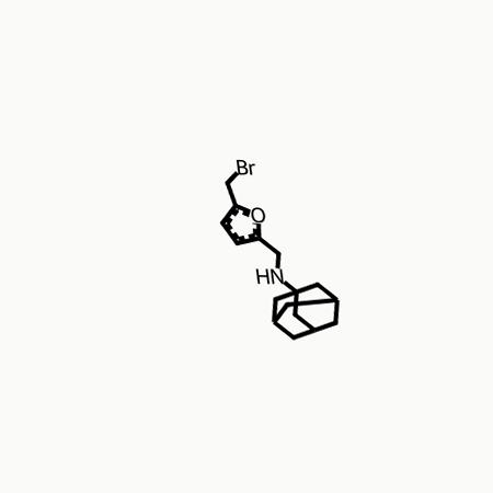 BrCc1ccc(CNC23CC4CC(CC(C4)C2)C3)o1